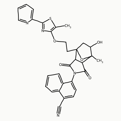 Cc1sc(-c2ccccn2)nc1OCCC12CC(O)C(C)(O1)C1C(=O)N(c3ccc(C#N)c4ccccc34)C(=O)C12